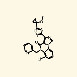 COC1(c2nc(-c3ncn4c3c(=O)n(Cc3ccccn3)c3c(Cl)cccc34)no2)CC1